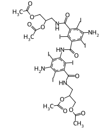 CC(=O)OCC(CNC(=O)c1c(I)c(N)c(I)c(NC(=O)c2c(I)c(N)c(I)c(C(=O)NCC(COC(C)=O)OC(C)=O)c2I)c1I)OC(C)=O